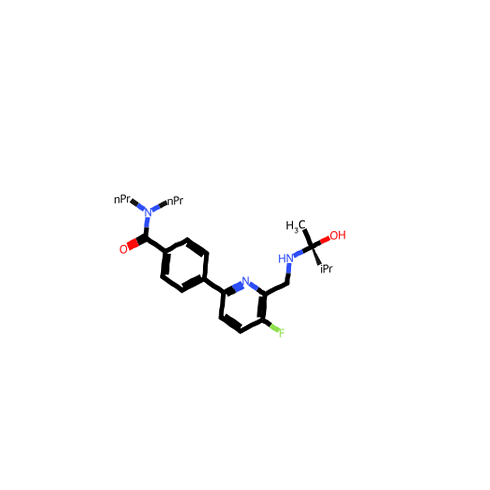 CCCN(CCC)C(=O)c1ccc(-c2ccc(F)c(CN[C@](C)(O)C(C)C)n2)cc1